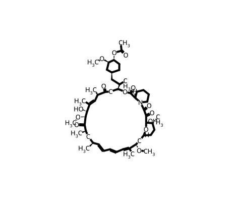 CO[C@H]1C[C@@H]2CC[C@@H](C)[C@@](O)(O2)C(=O)C(=O)N2CCCC[C@H]2C(=O)O[C@H](C(C)C[C@@H]2CC[C@@H](OC(C)=O)[C@H](OC)C2)CC(=O)[C@H](C)/C=C(\C)[C@@H](O)[C@@H](OC)C(=O)[C@H](C)C[C@H](C)/C=C/C=C/C=C/1C